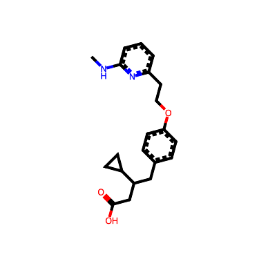 CNc1cccc(CCOc2ccc(CC(CC(=O)O)C3CC3)cc2)n1